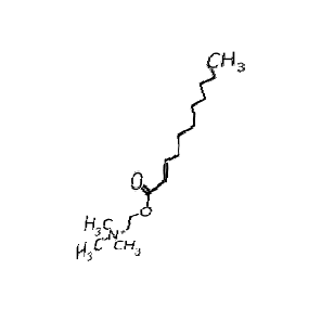 CCCCCCCCC=CC(=O)OCC[N+](C)(C)C